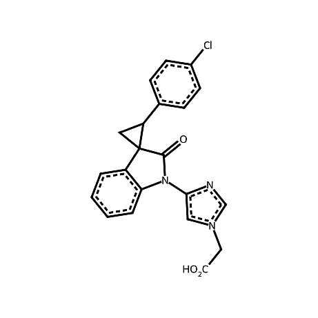 O=C(O)Cn1cnc(N2C(=O)C3(CC3c3ccc(Cl)cc3)c3ccccc32)c1